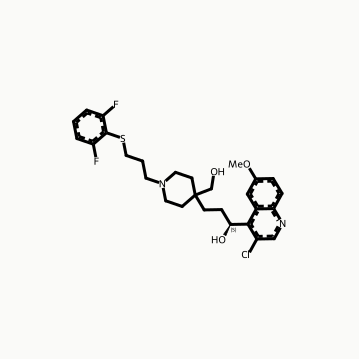 COc1ccc2ncc(Cl)c([C@@H](O)CCC3(CO)CCN(CCCSc4c(F)cccc4F)CC3)c2c1